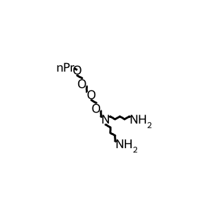 CCCOCCOCCOCCOCCN(CCCCCN)CCCCCN